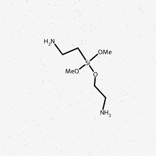 CO[Si](CCN)(OC)OCCN